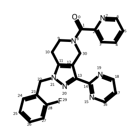 O=C(c1ccccn1)N1CCc2c(c(-c3ncccn3)nn2Cc2ccccc2F)C1